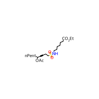 CCCCCC(C#CCCS(=O)(=O)NCCCCCCC(=O)OCC)OC(C)=O